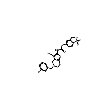 N#Cc1c(NC(=O)Cc2ccc3c(c2)CNS3(=O)=O)sc2c1CN(Cc1cccc(F)c1)CC2